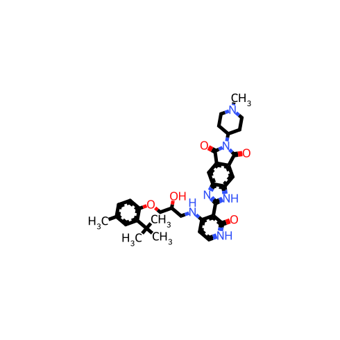 Cc1ccc(OCC(O)CNc2cc[nH]c(=O)c2-c2nc3cc4c(cc3[nH]2)C(=O)N(C2CCN(C)CC2)C4=O)c(C(C)(C)C)c1